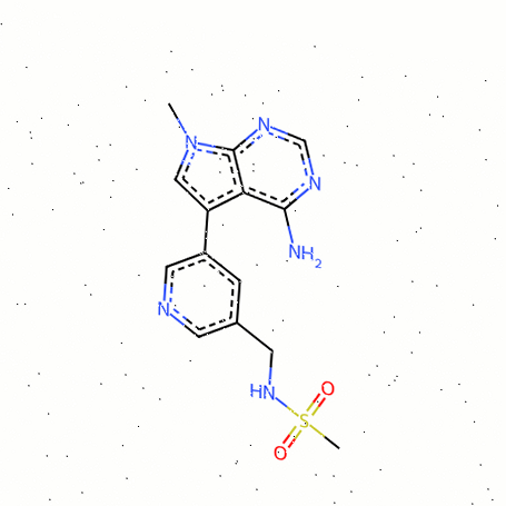 Cn1cc(-c2cncc(CNS(C)(=O)=O)c2)c2c(N)ncnc21